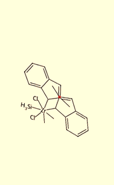 CC1=Cc2ccccc2[CH]1[Zr]([CH3])([CH3])([SiH3])([Cl])([Cl])[CH]1C(C)=Cc2ccccc21